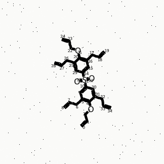 C=CCOc1c(CC=C)cc(S(=O)(=O)c2cc(CC=C)c(OCC=C)c(CC=C)c2)cc1CC=C